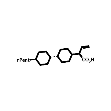 C=CC(C(=O)O)C1CCC([C@H]2CC[C@H](CCCCC)CC2)CC1